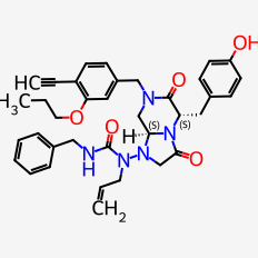 C#Cc1ccc(CN2C[C@H]3N(C(=O)CN3N(CC=C)C(=O)NCc3ccccc3)[C@@H](Cc3ccc(O)cc3)C2=O)cc1OCCC